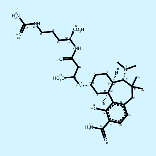 CN(C)[C@H]1[C@@H]2CC[C@@H](NC(CC(=O)N[C@@H](CCCNC(=N)N)C(=O)O)C(=O)O)C[C@]2(C)c2c(ccc(C(N)=O)c2O)CC1(C)C